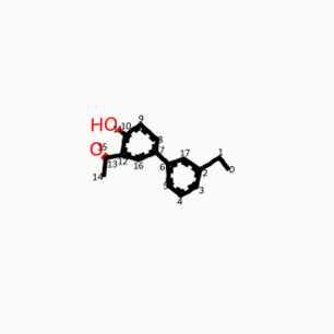 CCc1cccc(-c2ccc(O)c(C(C)=O)c2)c1